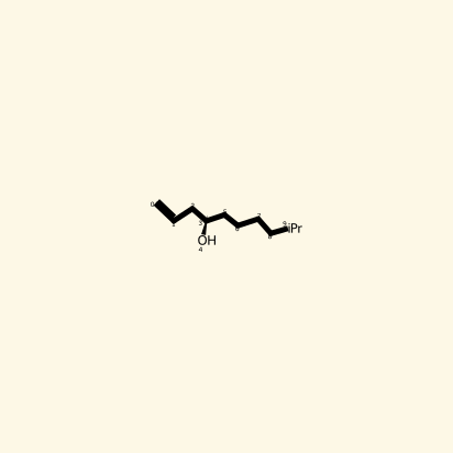 C=CC[C@H](O)CCCCC(C)C